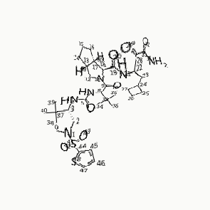 CN(C[C@@H](NC(=O)N[C@H](C(=O)N1C[C@@H]2CCC[C@@H]2[C@H]1C(=O)NC(CC1CCC1)C(=O)C(N)=O)C(C)(C)C)C(C)(C)C)S(=O)(=O)c1cccs1